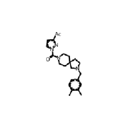 CC(=O)c1ccn(C(=O)N2CCC3(CCN(Cc4ccc(C)c(C)c4)C3)CC2)n1